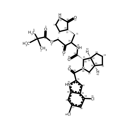 CC(C)(C)C(=O)OCC(=O)C(C[C@@H]1CCNC1=O)NC(=O)[C@@H]1[C@H]2CCC[C@H]2CN1C(=O)c1cc2c(Cl)cc(Cl)cc2[nH]1